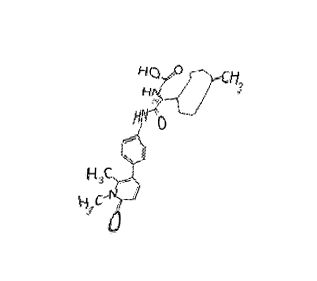 Cc1c(-c2ccc(NC(=O)[C@@H](NC(=O)O)C3CCC(C)CC3)cc2)ccc(=O)n1C